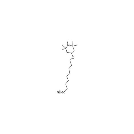 CCCCCCCCCCCCCCCCCCOC1CC(C)(C)N(C)C(C)(C)C1